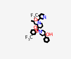 C=CCC1N(C(=O)c2cnccc2C(F)(F)F)CCCC1(Oc1ccc(C(F)(F)F)cc1)C(=O)N1CCC(O)(c2ccccc2)CC1